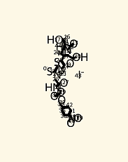 CSc1c2sc(C3=C(C(=O)O)N4C(=O)[C@H]([C@@H](C)O)[C@H]4[C@H]3C)c[n+]2cn1CC(=O)NOC(=O)OCc1ccc([N+](=O)[O-])cc1.[I-]